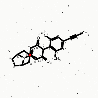 CC#Cc1cc(C)c(C2C(=O)CC3(CC2=O)CC2CCC(C3)N2C(C)=O)c(C)c1